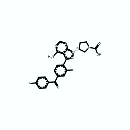 Nc1ncnc2c1c(-c1ccc(C(=O)c3ccc(F)cc3)cc1F)nn2[C@@H]1CCN(C(=O)O)C1